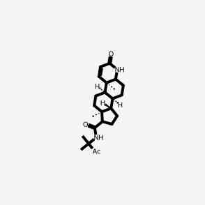 CC(=O)C(C)(C)NC(=O)C1CC[C@H]2[C@@H]3CCC4NC(=O)C=C[C@]4(C)[C@@H]3CC[C@]12C